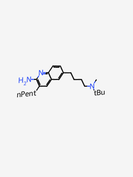 CCCCCc1cc2cc(CCCCN(C)C(C)(C)C)ccc2nc1N